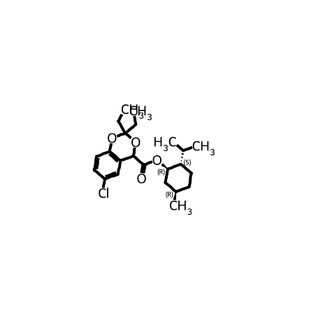 CCC1(CC)Oc2ccc(Cl)cc2C(C(=O)O[C@@H]2C[C@H](C)CC[C@H]2C(C)C)O1